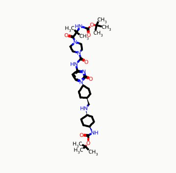 CC(C)(C)OC(=O)NC(C)(C)C(=O)N1CCN(C(=O)Nc2ccn([C@H]3CC[C@H](CN[C@H]4CC[C@H](NC(=O)OC(C)(C)C)CC4)CC3)c(=O)n2)CC1